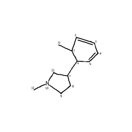 CC1C=CC=CC1C1CCN(C)C1